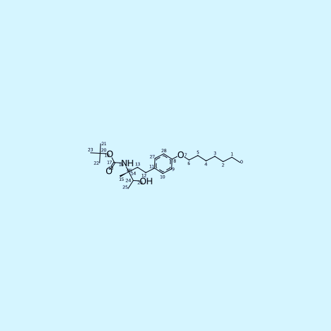 CCCCCCCOc1ccc(CC[C@@](C)(NC(=O)OC(C)(C)C)C(C)O)cc1